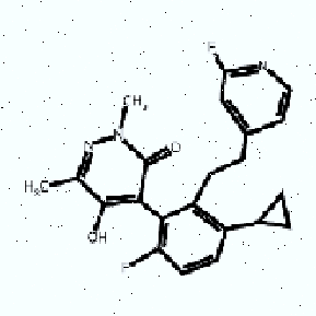 Cc1nn(C)c(=O)c(-c2c(F)ccc(C3CC3)c2CCc2ccnc(F)c2)c1O